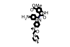 COC(=O)c1ccc2c(c1)/C(=C(/Nc1ccc(N(C)C(=O)CN3CCN(C)CC3)cc1)c1ccc(N)cc1)C(=O)N2